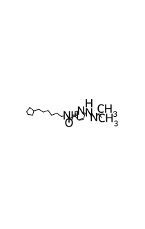 CC(C)=NNc1ccc(C(=O)NCCCCCCC2CCCC2)cn1